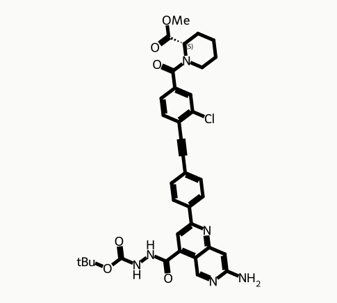 COC(=O)[C@@H]1CCCCN1C(=O)c1ccc(C#Cc2ccc(-c3cc(C(=O)NNC(=O)OC(C)(C)C)c4cnc(N)cc4n3)cc2)c(Cl)c1